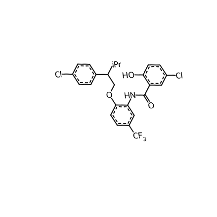 CC(C)C(COc1ccc(C(F)(F)F)cc1NC(=O)c1cc(Cl)ccc1O)c1ccc(Cl)cc1